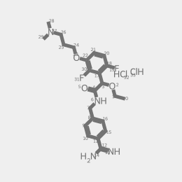 CCOC(C(=O)NCc1ccc(C(=N)N)cc1)c1c(F)ccc(OCCCN(C)C)c1F.Cl.Cl